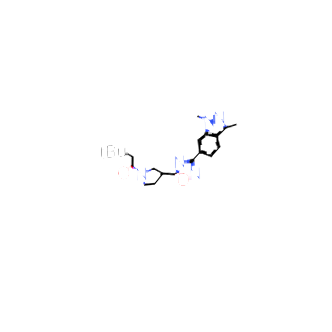 Cc1nn(C)c2cc(-c3noc(C4CCN(C(=O)CC(C)(C)C)C4)n3)ccc12